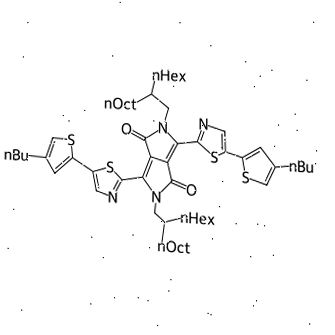 CCCCCCCCC(CCCCCC)CN1C(=O)C2=C(c3ncc(-c4cc(CCCC)cs4)s3)N(CC(CCCCCC)CCCCCCCC)C(=O)C2=C1c1ncc(-c2cc(CCCC)cs2)s1